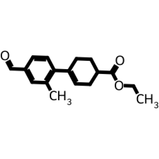 CCOC(=O)C1CC=C(c2ccc(C=O)cc2C)CC1